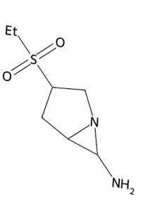 CCS(=O)(=O)C1CC2C(N)N2C1